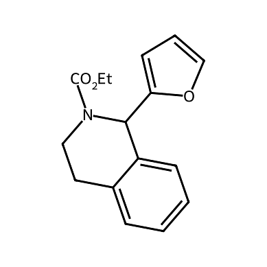 CCOC(=O)N1CCc2ccccc2C1c1ccco1